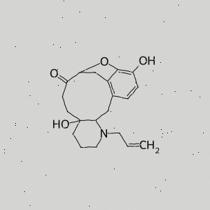 C=CCN1CCCC2(O)CCC(=O)C3Cc4c(ccc(O)c4O3)CC12